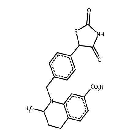 CC1CCc2ccc(C(=O)O)cc2N1Cc1ccc(C2SC(=O)NC2=O)cc1